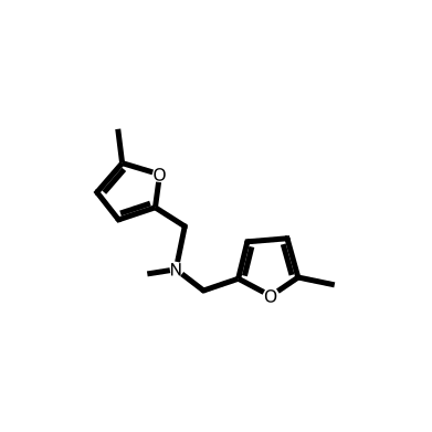 Cc1ccc(CN(C)Cc2ccc(C)o2)o1